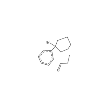 BrC1(c2ccccc2)CCCCC1.CCC=O